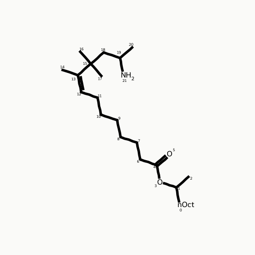 CCCCCCCCC(C)OC(=O)CCCCCC/C=C(/C)C(C)(C)CC(C)N